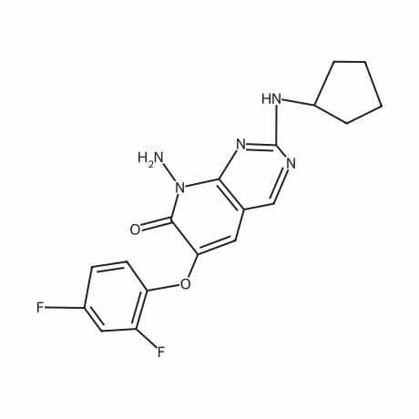 Nn1c(=O)c(Oc2ccc(F)cc2F)cc2cnc(NC3CCCC3)nc21